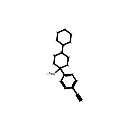 C#Cc1ccc(C2(CCCCC)CCC(C3CCCCC3)CC2)cc1